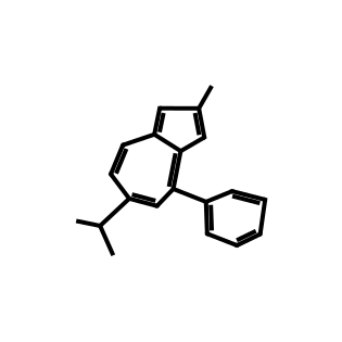 Cc1cc2ccc(C(C)C)cc(-c3ccccc3)c-2c1